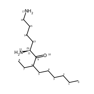 CCCCCCC(CC)C(=O)[C@@H](N)CCCCN